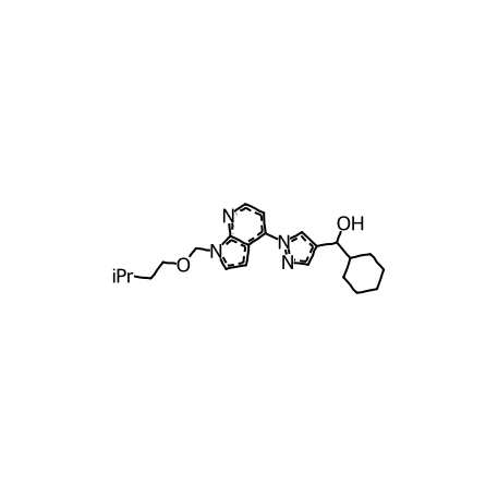 CC(C)CCOCn1ccc2c(-n3cc(C(O)C4CCCCC4)cn3)ccnc21